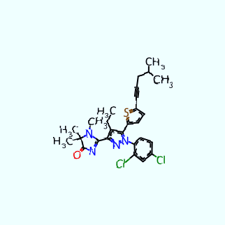 CCc1c(C2=NC(=O)C(C)(C)N2C)nn(-c2ccc(Cl)cc2Cl)c1-c1ccc(C#CCC(C)C)s1